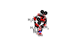 C=C1C[C@@H]2CCC(=O)C[C@H]3O[C@H]4[C@@H](O[Si](c5ccccc5)(c5ccccc5)C(C)(C)C)[C@H]5O[C@H](CC[C@@H]5O[C@H]4[C@H]3O[Si](c3ccccc3)(c3ccccc3)C(C)(C)C)CC(=O)C[C@H]3C(C[C@H]4O[C@@H](CCC1O2)C[C@@H](C)C4=C)O[C@H](C[C@H]1CN(C(=O)OC(C)(C)C)C(C)(C)O1)[C@@H]3C